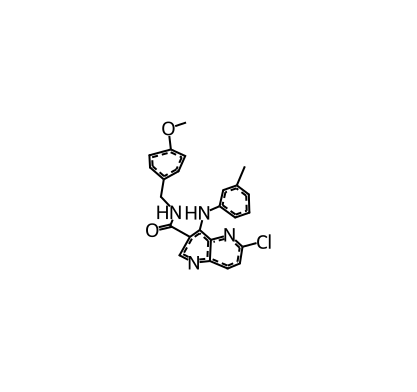 COc1ccc(CNC(=O)c2cnc3ccc(Cl)nc3c2Nc2cccc(C)c2)cc1